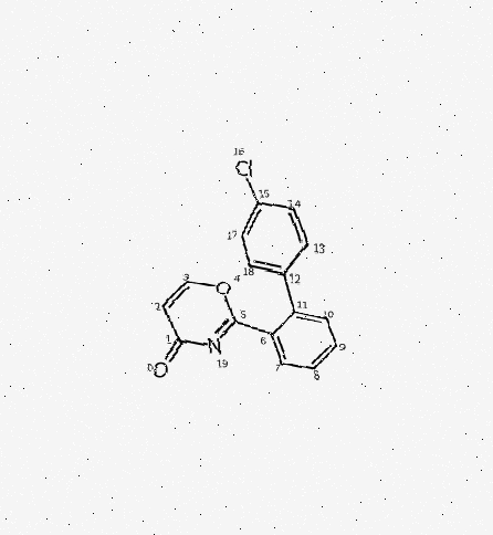 O=c1ccoc(-c2ccccc2-c2ccc(Cl)cc2)n1